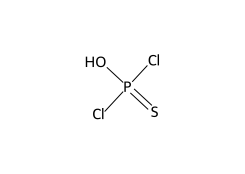 OP(=S)(Cl)Cl